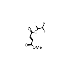 COC(=O)C=CC(=O)OC(F)C(F)F